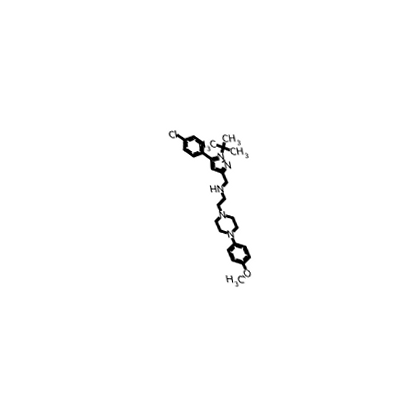 COc1ccc(N2CCN(CCNCc3cc(-c4ccc(Cl)cc4)n(C(C)(C)C)n3)CC2)cc1